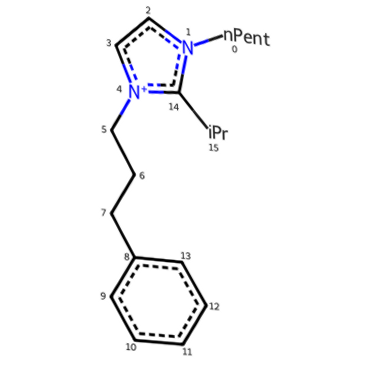 CCCCCn1cc[n+](CCCc2ccccc2)c1C(C)C